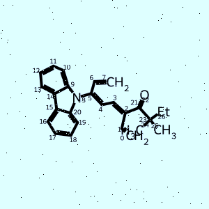 C=C/C(=C\C=C(/C=C)n1c2ccccc2c2ccccc21)C(=O)C(C)(C)CC